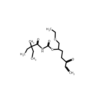 C=CC(=O)CCC(COCC)OC(=O)NC(=O)C(C)(CC)CC